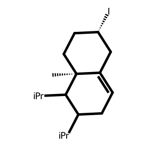 CC(C)C1CC=C2C[C@@H](I)CC[C@]2(C)C1C(C)C